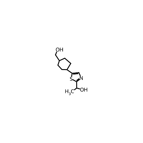 CC(O)c1ncc(C2CCC(CO)CC2)s1